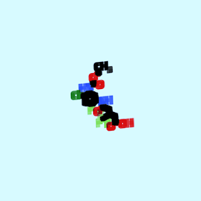 CCOC(=O)Nc1cc(NC(=O)CC(CC(=O)O)C(F)(F)F)c(F)cc1Cl